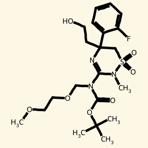 COCCOCN(C(=O)OC(C)(C)C)C1=NC(CCO)(c2ccccc2F)CS(=O)(=O)N1C